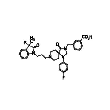 CC1(F)C(=O)N(CCCN2CCC3(CC2)C(=O)N(Cc2cccc(C(=O)O)c2)CN3c2ccc(F)cc2)c2ccccc21